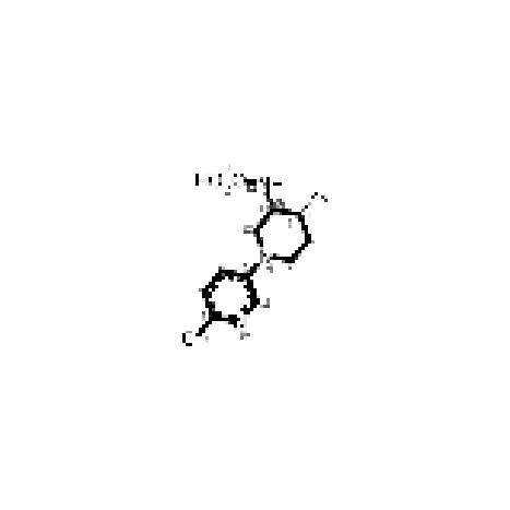 C[C@@H]1CCN(c2ccc(Cl)nc2)C[C@H]1NC(=O)O